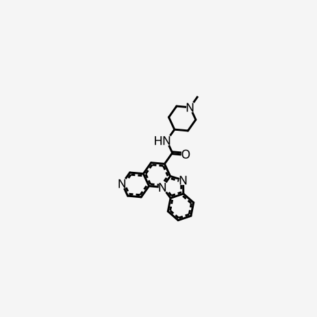 CN1CCC(NC(=O)c2cc3cnccc3n3c2nc2ccccc23)CC1